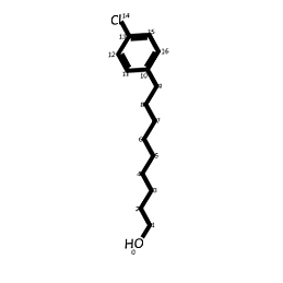 OCCCCCCCCCc1ccc(Cl)cc1